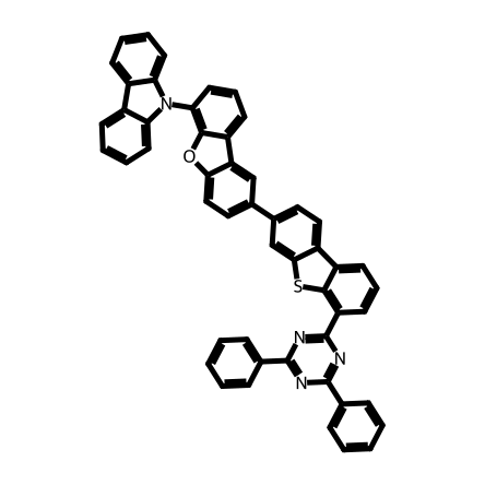 c1ccc(-c2nc(-c3ccccc3)nc(-c3cccc4c3sc3cc(-c5ccc6oc7c(-n8c9ccccc9c9ccccc98)cccc7c6c5)ccc34)n2)cc1